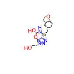 O=C(O)N[C@@H](Cc1ccc2c(c1)CCO2)c1nnn(CCO)n1